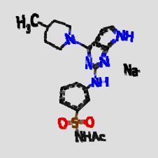 CC(=O)NS(=O)(=O)c1cccc(Nc2nc(N3CCC(C)CC3)c3cc[nH]c3n2)c1.[Na]